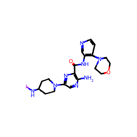 Nc1ncc(N2CCC(NI)CC2)nc1C(=O)Nc1cnccc1N1CCOCC1